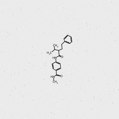 CNC(=O)c1ccc(NC(=O)C(CCc2ccccc2)C(C)C)cc1